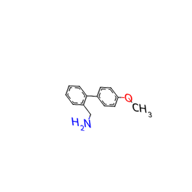 COc1ccc(-c2ccccc2CN)cc1